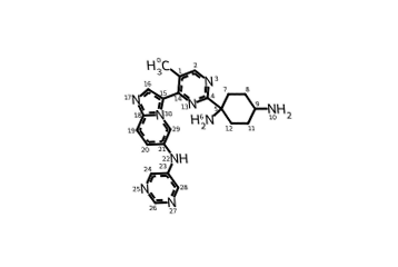 Cc1cnc(C2(N)CCC(N)CC2)nc1-c1cnc2ccc(Nc3cncnc3)cn12